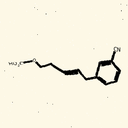 N#Cc1cccc(C/C=C/CCOC(=O)O)c1